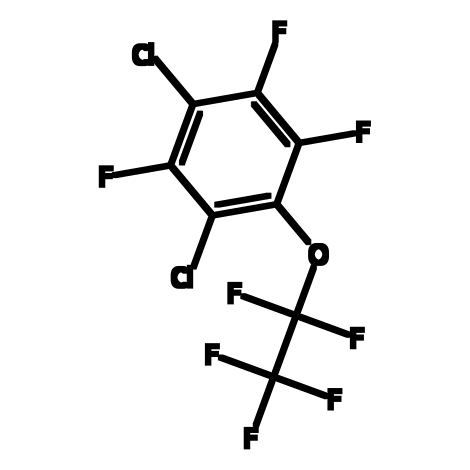 Fc1c(F)c(OC(F)(F)C(F)(F)F)c(Cl)c(F)c1Cl